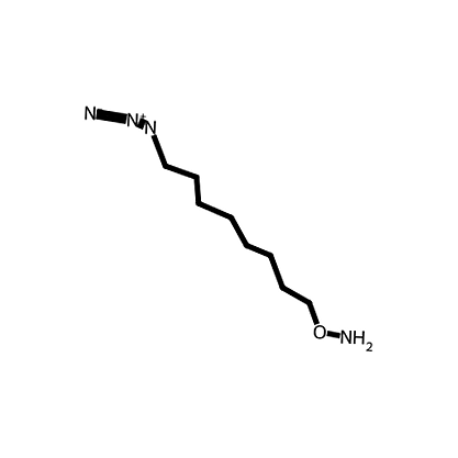 [N-]=[N+]=NCCCCCCCCON